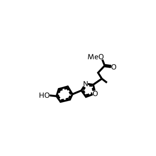 COC(=O)CC(C)c1nc(-c2ccc(O)cc2)co1